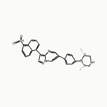 C[C@@H]1CNC[C@H](C)N1c1ccc(-c2cnc3c(-c4cccc5c([SH](=O)=O)cccc45)cnn3c2)cc1